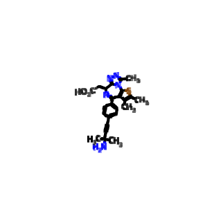 Cc1sc2c(c1C)C(c1ccc(C#CC(C)(C)N)cc1)=NC(CC(=O)O)c1nnc(C)n1-2